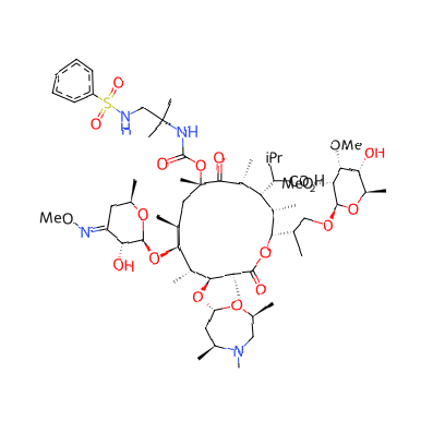 CO/N=C1\C[C@@H](C)O[C@@H](O[C@@H]2[C@@H](C)[C@H](O[C@H]3C[C@H](C)N(C)C[C@H](C)O3)[C@@H](C)C(=O)O[C@@H](C(C)CO[C@@H]3O[C@H](C)[C@@H](O)[C@@H](OC)[C@H]3OC)[C@@H](C)[C@@H](C(C(=O)O)C(C)C)[C@@H](C)C(=O)[C@@](C)(OC(=O)NC(C)(C)CNS(=O)(=O)c3ccccc3)C[C@@H]2C)[C@@H]1O